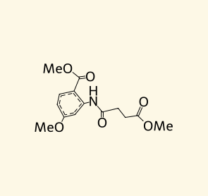 COC(=O)CCC(=O)Nc1cc(OC)ccc1C(=O)OC